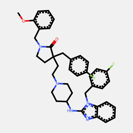 COc1ccccc1CN1CCC(CCN2CCC(Nc3nc4ccccc4n3Cc3ccc(F)cc3)CC2)(Cc2ccc(F)cc2)C1=O